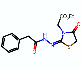 CCOC(=O)CN1C(=O)CS/C1=N/NC(=O)Cc1ccccc1